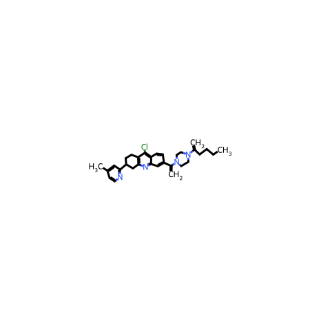 C=C(CCCC)N1CCN(C(=C)c2ccc3c(Cl)c4c(nc3c2)CC(c2cc(C)ccn2)CC4)CC1